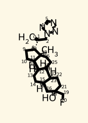 C=C(Cn1ncnn1)[C@H]1CC[C@H]2[C@@H]3CC[C@H]4C[C@](O)(CF)CC[C@@H]4[C@H]3CC[C@]12C